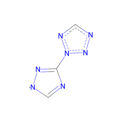 C1=NC(n2ncnn2)=N[N]1